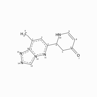 Cc1cc(C2CC(=O)C=CN2)nn2cnnc12